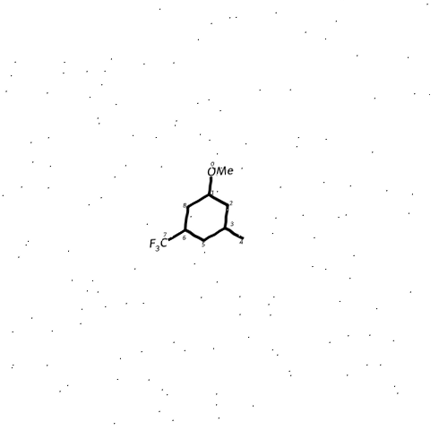 COC1CC(C)CC(C(F)(F)F)C1